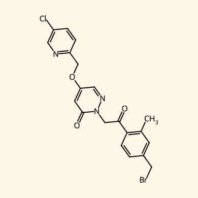 Cc1cc(CBr)ccc1C(=O)Cn1ncc(OCc2ccc(Cl)cn2)cc1=O